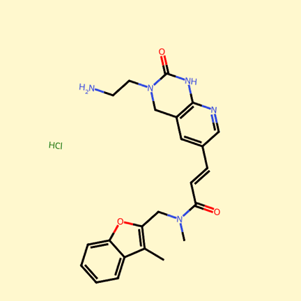 Cc1c(CN(C)C(=O)C=Cc2cnc3c(c2)CN(CCN)C(=O)N3)oc2ccccc12.Cl